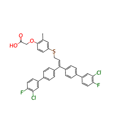 Cc1cc(SCC=C(c2ccc(-c3ccc(F)c(Cl)c3)cc2)c2ccc(-c3ccc(F)c(Cl)c3)cc2)ccc1OCC(=O)O